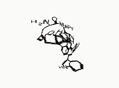 CC(C)[C@@H]1NC(=O)[C@@H](N)Cc2ccc3c(c2)C2(c4ccccc4N[C@H]2O3)c2oc1nc2-c1ncc(-c2c[nH]c3ccccc23)o1